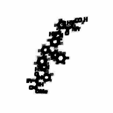 COC(=O)N[C@H](C(=O)N1CCC[C@H]1c1nc2cc([C@H]3CC[C@H](c4ccc5nc([C@@H]6CCCN6C(=O)[C@@H](NC(=O)O)C(C)C)[nH]c5c4)N3c3nc4c(s3)CCCC4)ccc2[nH]1)C(C)C